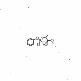 COC(=O)C(C)NP(=O)(O)Oc1ccccc1